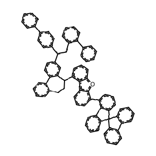 c1ccc(-c2ccc(C(Cc3ccccc3-c3ccccc3)c3ccc4c(c3)C(c3cccc5oc6c(-c7cccc8c7-c7ccccc7C87c8ccccc8-c8ccccc87)cccc6c35)CCc3ccccc3-4)cc2)cc1